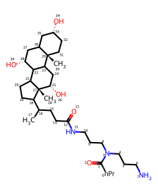 CCCC(=O)N(CCCN)CCCNC(=O)CCC(C)C1CCC2C3C(C[C@H](O)[C@]12C)[C@@]1(C)CC[C@@H](O)CC1C[C@H]3O